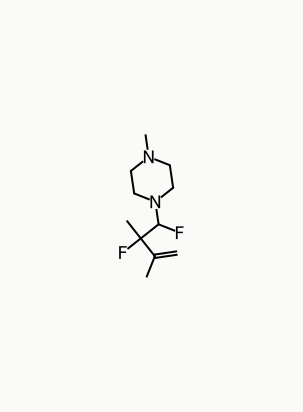 C=C(C)C(C)(F)C(F)N1CCN(C)CC1